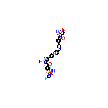 O=C1CCC(N2Cc3ccc(C4CCN(CC5CCN(c6ccc(-c7cnc8[nH]cc(C(=O)c9c(F)ccc(NS(=O)(=O)N%10CC[C@@H](F)C%10)c9F)c8c7)cc6)CC5)CC4)cc3C2=O)C(=O)N1